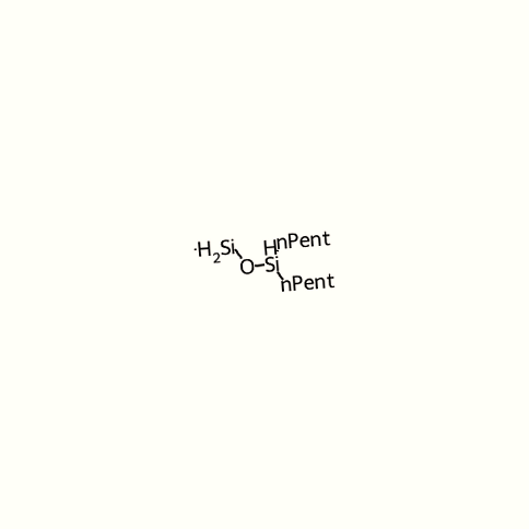 CCCCC[SiH](CCCCC)O[SiH2]